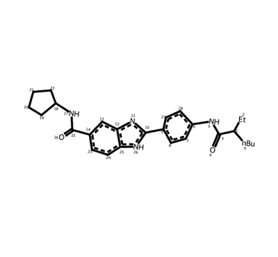 CCCCC(CC)C(=O)Nc1ccc(-c2nc3cc(C(=O)NC4CCCC4)ccc3[nH]2)cc1